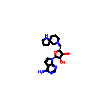 Nc1ncnc2c1ccn2[C@@H]1O[C@H](CN2CCCC3(CCCN3)C2)[C@@H](O)[C@H]1O